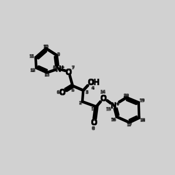 O=C(CC(O)C(=O)O[n+]1ccccc1)O[n+]1ccccc1